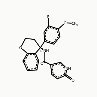 O=C(N[C@]1(c2ccc(OC(F)(F)F)c(F)c2)CCOc2ccccc21)c1ccc(=O)[nH]c1